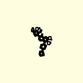 C=Cc1c(-c2ccc3c(-c4ccc(-c5ccccc5)cc4)c(OC)c(OC)cc3c2C)ccc(OC)c1OC